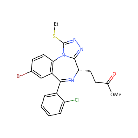 CCSc1nnc2n1-c1ccc(Br)cc1C(c1ccccc1Cl)=N[C@H]2CCC(=O)OC